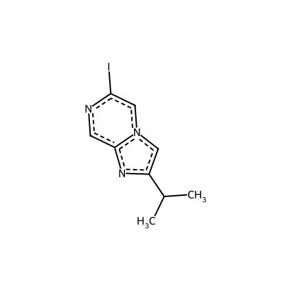 CC(C)c1cn2cc(I)ncc2n1